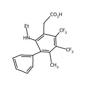 CCNc1c(CC(=O)O)c(C(F)(F)F)c(C(F)(F)F)c(C)c1-c1ccccc1